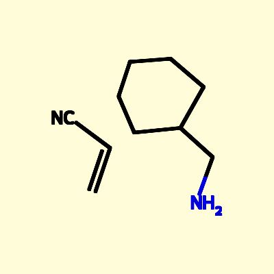 C=CC#N.NCC1CCCCC1